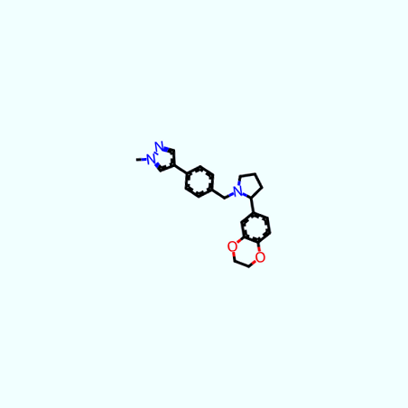 Cn1cc(-c2ccc(CN3CCCC3c3ccc4c(c3)OCCO4)cc2)cn1